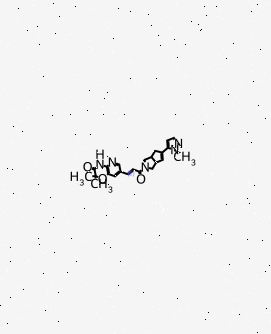 Cn1nccc1C1=CC2CN(C(=O)/C=C/c3cnc4c(c3)OC(C)(C)C(=O)N4)CC2C1